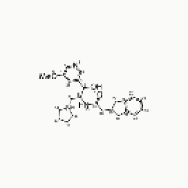 COc1cncc(C(O)C(CN2CCCC2)NC(=O)CC2Cc3ccccc3C2)c1